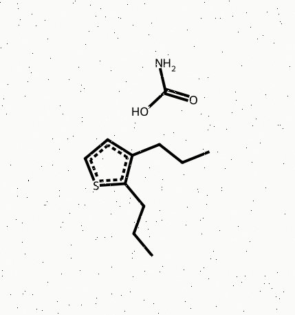 CCCc1ccsc1CCC.NC(=O)O